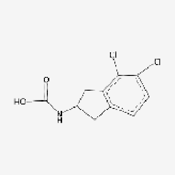 O=C(O)NC1Cc2ccc(Cl)c(Cl)c2C1